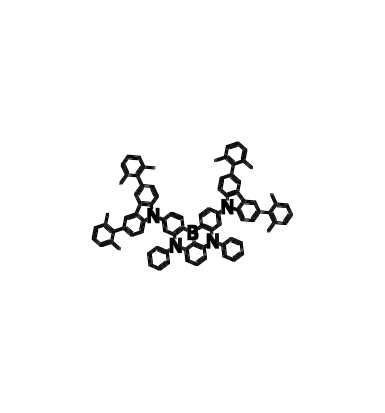 Cc1cccc(C)c1-c1ccc2c(c1)c1cc(-c3c(C)cccc3C)ccc1n2-c1ccc2c(c1)N(c1ccccc1)c1cccc3c1B2c1ccc(-n2c4ccc(-c5c(C)cccc5C)cc4c4cc(-c5c(C)cccc5C)ccc42)cc1N3c1ccccc1